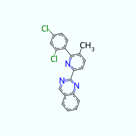 Cc1ccc(-c2ncc3ccccc3n2)nc1-c1ccc(Cl)cc1Cl